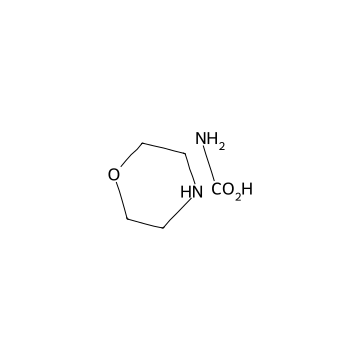 C1COCCN1.NC(=O)O